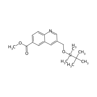 COC(=O)c1ccc2ncc(CO[Si](C)(C)C(C)(C)C)cc2c1